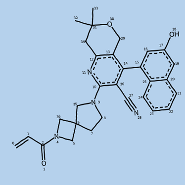 C=CC(=O)N1CC2(CCN(c3nc4c(c(-c5cc(O)cc6ccccc56)c3C#N)COC(C)(C)C4)C2)C1